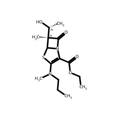 CCCN(C)C1=C(C(=O)OCC)N2C(=O)[C@](C)([C@@H](C)O)C2S1